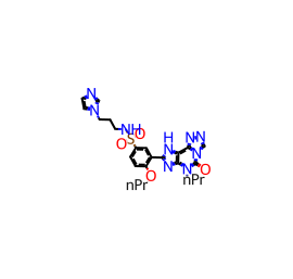 CCCOc1ccc(S(=O)(=O)NCCCn2ccnc2)cc1-c1nc2c([nH]1)c1nncn1c(=O)n2CCC